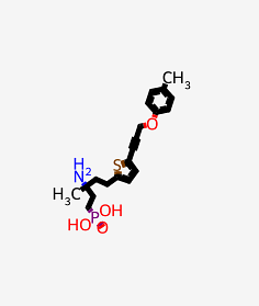 Cc1ccc(OCC#Cc2ccc(CCC(C)(N)CCP(=O)(O)O)s2)cc1